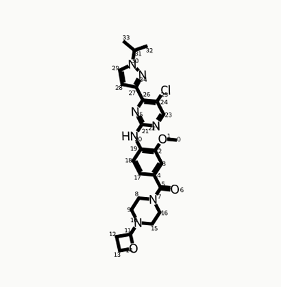 COc1cc(C(=O)N2CCN(C3CCO3)CC2)ccc1Nc1ncc(Cl)c(-c2ccn(C(C)C)n2)n1